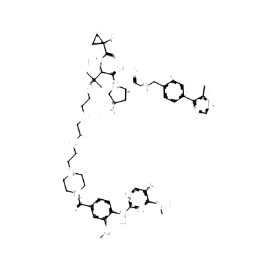 CNc1nc(Nc2ccc(C(=O)N3CCN(CCOCCOCCSC(C)(C)C(NC(=O)C4(F)CC4)C(=O)N4C[C@H](O)C[C@H]4C(=O)NCc4ccc(-c5scnc5C)cc4)CC3)cc2OC)ncc1Cl